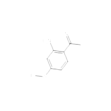 CC(=N)c1ccc(OC(C)C)cc1N